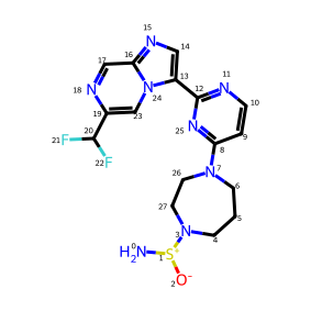 N[S+]([O-])N1CCCN(c2ccnc(-c3cnc4cnc(C(F)F)cn34)n2)CC1